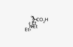 C=C(CC)C(=O)O.CCN(C)CC